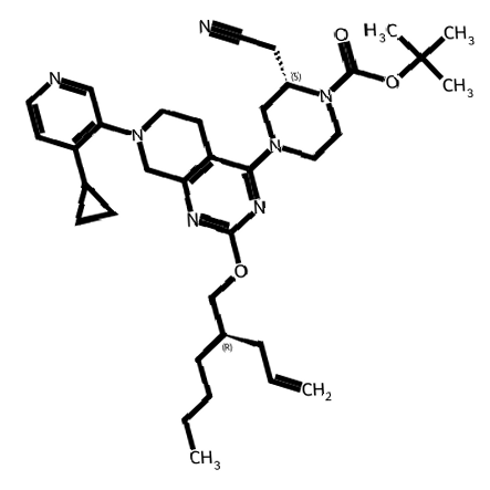 C=CC[C@@H](CCCC)COc1nc2c(c(N3CCN(C(=O)OC(C)(C)C)[C@@H](CC#N)C3)n1)CCN(c1cnccc1C1CC1)C2